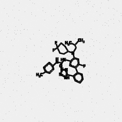 Cc1ccc(NC(=O)Nc2cc(-c3ccccc3-c3nnn[nH]3)c(F)cc2N(CC(C)C)C2CCC(F)(F)CC2)cc1